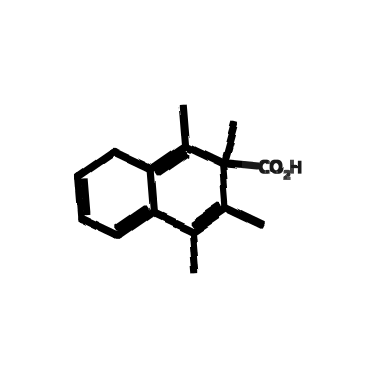 CC1=C(C)C(C)(C(=O)O)C(C)=C2CC=CC=C12